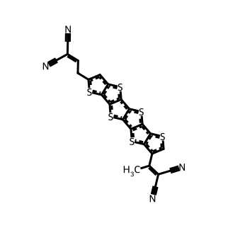 CC(=C(C#N)C#N)c1csc2c1sc1c2sc2c3sc4cc(CC=C(C#N)C#N)sc4c3sc12